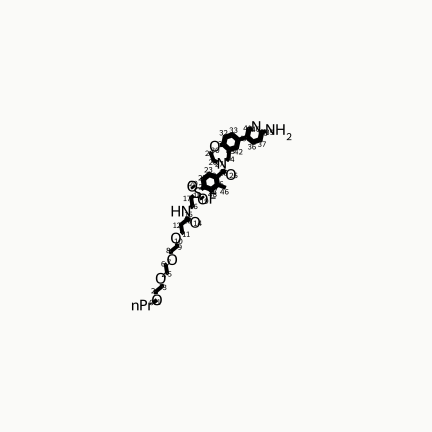 CCCOCCOCCOCCOCCC(=O)NCCS(=O)(=O)c1ccc(C(=O)N2CCOc3ccc(-c4ccc(N)nc4)cc3C2)c(C)c1F